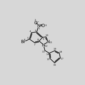 O=[N+]([O-])c1cc(Br)cc2c1cnn2Cc1ccccc1